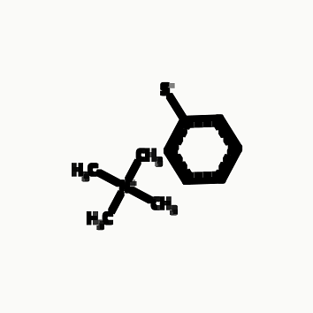 C[N+](C)(C)C.[S-]c1ccccc1